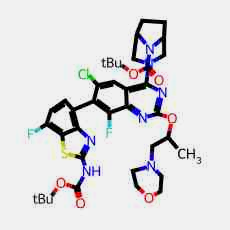 CC(CN1CCOCC1)Oc1nc(N2CC3CCC(C2)N3C(=O)OC(C)(C)C)c2cc(Cl)c(-c3ccc(F)c4sc(NC(=O)OC(C)(C)C)nc34)c(F)c2n1